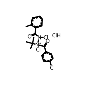 Cc1ccccc1C(=O)N(Cl)[N+](Cl)(C(=O)c1ccc(Cl)cc1)C(C)(C)C.Cl